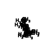 COC(=O)NC(CC/C=C/C(=O)N(C)C)C(=O)Nc1cccn(Cc2nc3c(CC(C)C)cccc3n2C(=O)OC(C)(C)C)c1=O